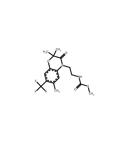 COC(=O)NCCN1C(=O)C(C)(C)Oc2cc(C(F)(F)F)c(C)cc21